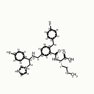 CSCC[C@H](NC(=O)c1cc(CNC(Cn2ccnc2)c2ccc(F)cc2)ccc1Cc1ccc(F)cc1)C(=O)O